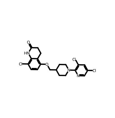 O=C1CCc2c(OCC3CCN(c4ncc(Cl)cc4Cl)CC3)ccc(Cl)c2N1